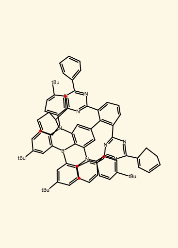 CC(C)(C)c1ccc(N2c3ccc(C(C)(C)C)cc3B3c4cc(C(C)(C)C)ccc4N(c4ccc(C(C)(C)C)cc4)c4cc(-c5c(-c6nc(C7=CCCC=C7)nc(C7=CC=CCC7)n6)cccc5-c5nc(-c6ccccc6)nc(C6CC=CCC6)n5)cc2c43)cc1